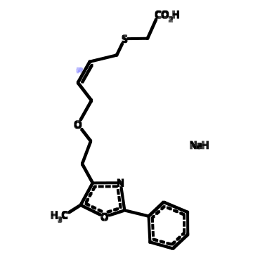 Cc1oc(-c2ccccc2)nc1CCOC/C=C\CSCC(=O)O.[NaH]